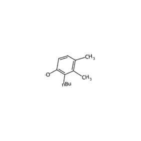 CCCCc1c([O])ccc(C)c1C